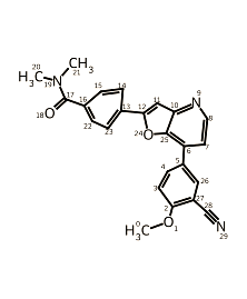 COc1ccc(-c2ccnc3cc(-c4ccc(C(=O)N(C)C)cc4)oc23)cc1C#N